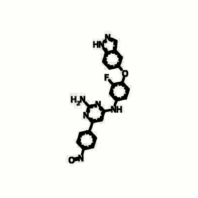 Nc1nc(Nc2ccc(Oc3ccc4[nH]ncc4c3)c(F)c2)cc(-c2ccc(N=O)cc2)n1